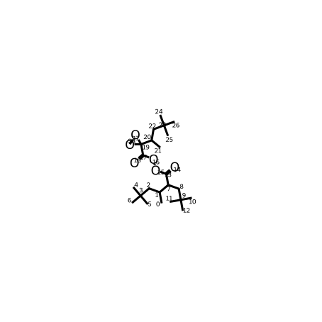 CC(CC(C)(C)C)C(CC(C)(C)C)C(=O)OOC(=O)C1(C(C)CC(C)(C)C)OO1